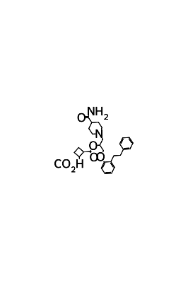 NC(=O)C1CCN(CC(COc2ccccc2CCc2ccccc2)OC(=O)C2CCC2C(=O)O)CC1